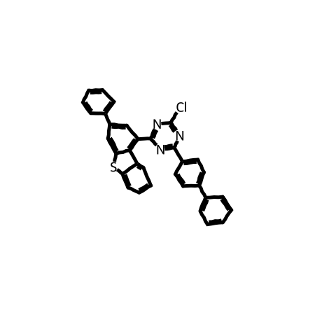 Clc1nc(-c2ccc(-c3ccccc3)cc2)nc(-c2cc(-c3ccccc3)cc3sc4ccccc4c23)n1